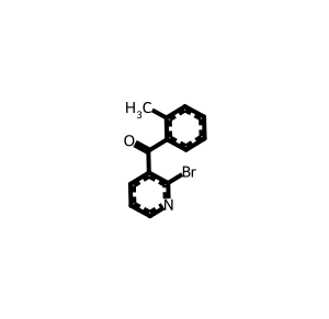 Cc1ccccc1C(=O)c1cccnc1Br